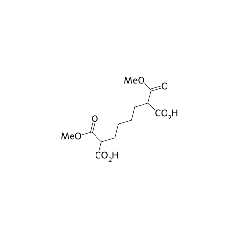 COC(=O)C(CCCCC(C(=O)O)C(=O)OC)C(=O)O